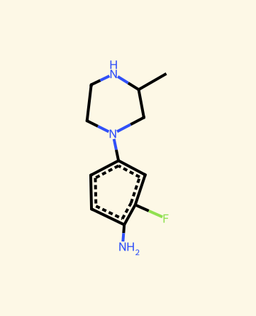 CC1CN(c2ccc(N)c(F)c2)CCN1